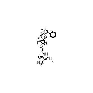 C=C(C)C(=O)NCCOC(=O)C(F)(F)S(=O)(=O)OC(C)C(=O)c1ccccc1